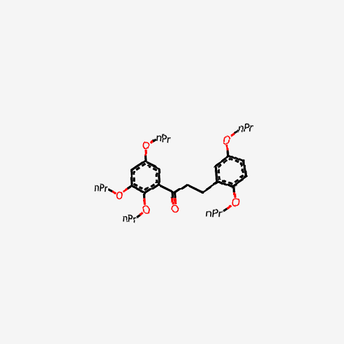 CCCOc1ccc(OCCC)c(CCC(=O)c2cc(OCCC)cc(OCCC)c2OCCC)c1